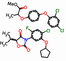 CC(C)=C1OC(=O)N(c2cc(OC3CCCC3)c(Cl)cc2F)C1=O.COC(=O)C(C)Oc1ccc(Oc2ccc(Cl)cc2Cl)cc1